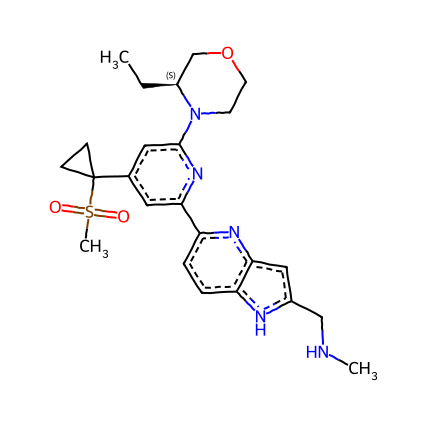 CC[C@H]1COCCN1c1cc(C2(S(C)(=O)=O)CC2)cc(-c2ccc3[nH]c(CNC)cc3n2)n1